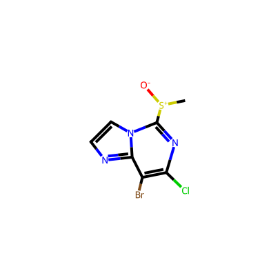 C[S+]([O-])c1nc(Cl)c(Br)c2nccn12